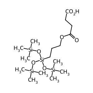 C[Si](C)(C)O[Si](CCCOC(=O)CCC(=O)O)(O[Si](C)(C)C)O[Si](C)(C)C